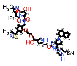 Cc1cc([C@H](C(=O)N2C[C@H](O)C[C@H]2C(=O)NCc2ccc(-c3scnc3C)cc2OCCOCC(O)[C@H]2CN[C@H](CCOc3nc4c(c(N5CCN[C@@H](CC#N)C5)n3)CCN(c3cccc5ccccc35)C4)C2)C(C)C)on1